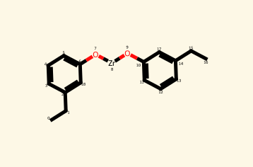 CCc1cccc([O][Zr][O]c2cccc(CC)c2)c1